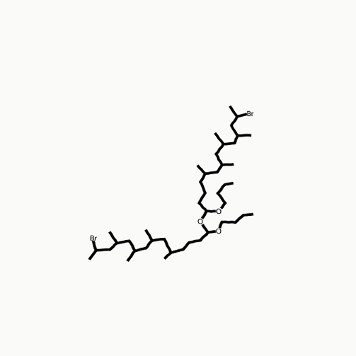 CCCCOC(CCCC(C)CC(C)CC(C)CC(C)CC(C)Br)OC(CCCC(C)CC(C)CC(C)CC(C)CC(C)Br)OCCCC